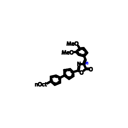 CCCCCCCCc1ccc(-c2ccc(C3=N/C(=C\c4ccc(OC)c(OC)c4)C(=O)O3)cc2)cc1